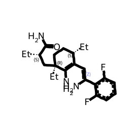 CC[C@@H](C[C@@]1(CC)CC[C@H](CC)C(/C=C(\N)c2c(F)cccc2F)=C1N)C(N)=O